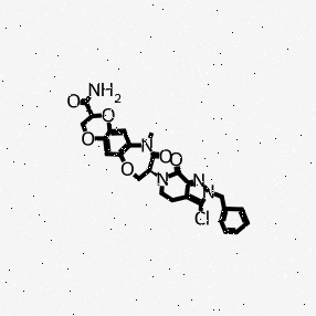 CN1C(=O)[C@@H](N2CCc3c(nn(Cc4ccccc4)c3Cl)C2=O)COc2cc3c(cc21)OC(C(N)=O)CO3